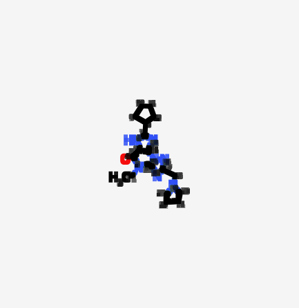 CCn1c(=O)c2[nH]c(C3CCCC3)nc2n2nc(Cn3cccc3)nc12